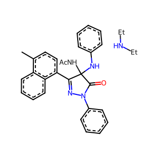 CC(=O)NC1(Nc2ccccc2)C(=O)N(c2ccccc2)N=C1c1ccc(C)c2ccccc12.CCNCC